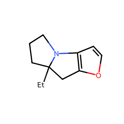 CCC12CCCN1c1ccoc1C2